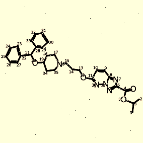 CC(C)OC(=O)c1nc2ccc(OCCCN3CCC(OC(c4ccccc4)c4ccccc4)CC3)nn2n1